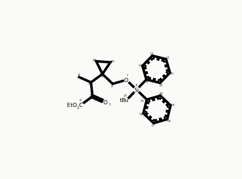 CCOC(=O)C(=O)C(C)C1(CO[Si](c2ccccc2)(c2ccccc2)C(C)(C)C)CC1